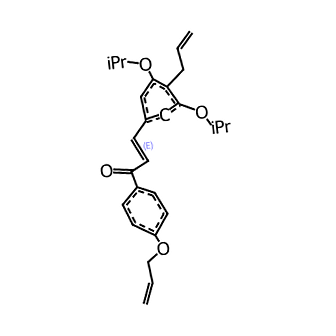 C=CCOc1ccc(C(=O)/C=C/c2cc(OC(C)C)c(CC=C)c(OC(C)C)c2)cc1